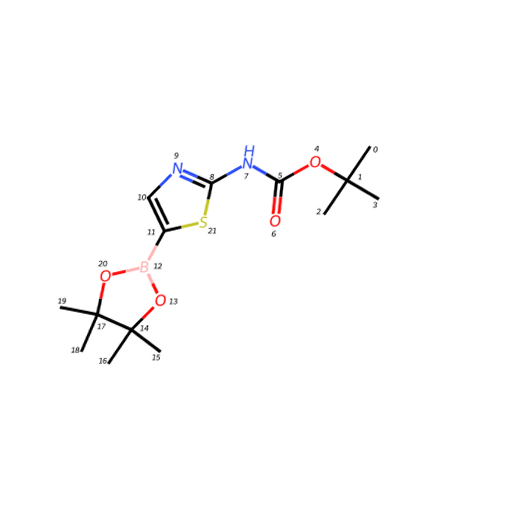 CC(C)(C)OC(=O)Nc1ncc(B2OC(C)(C)C(C)(C)O2)s1